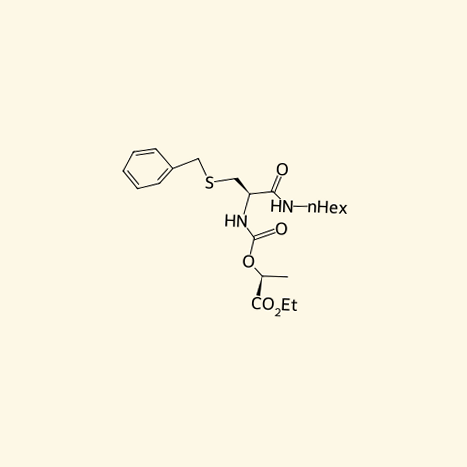 CCCCCCNC(=O)[C@H](CSCc1ccccc1)NC(=O)O[C@@H](C)C(=O)OCC